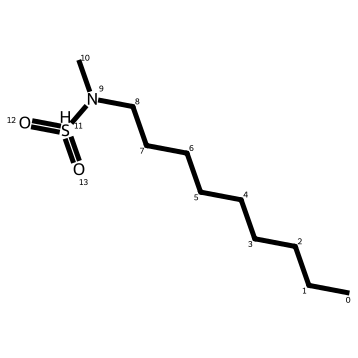 CCCCCCCCCN(C)[SH](=O)=O